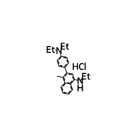 CCNc1cc(-c2ccc(N(CC)CC)cc2)c(C)c2ccccc12.Cl